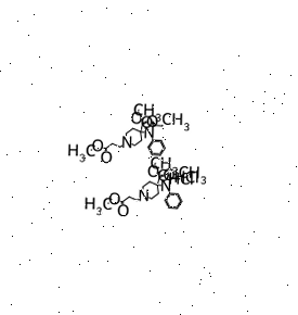 CCC(=O)N(c1ccccc1)C1(C(=O)OC)CCN(CCC(=O)OC)CC1.CCC(=O)N(c1ccccc1)C1(C(=O)OC)CCN(CCC(=O)OC)CC1.Cl.Cl